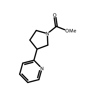 COC(=O)N1CCC(c2ccccn2)C1